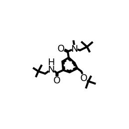 CN(CC(C)(C)C)C(=O)c1cc(COC(C)(C)C)cc(C(=O)NCC(C)(C)C)c1